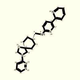 c1ccc(-c2ccc(NC[C@H]3CC[C@]4(CC3)CN(c3cccnn3)CO4)nc2)nc1